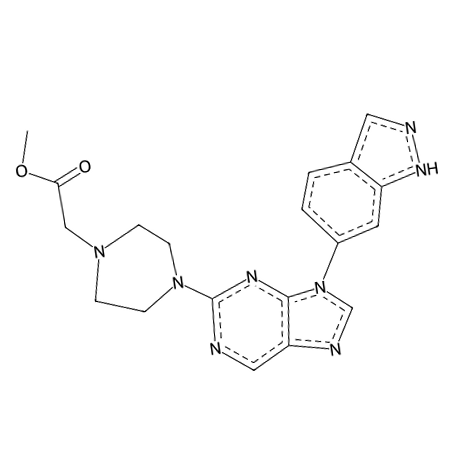 COC(=O)CN1CCN(c2ncc3ncn(-c4ccc5cn[nH]c5c4)c3n2)CC1